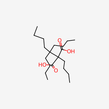 CCCCC(CCCC)(CCCC)C(CCCC)(C(=O)O)C(=O)O